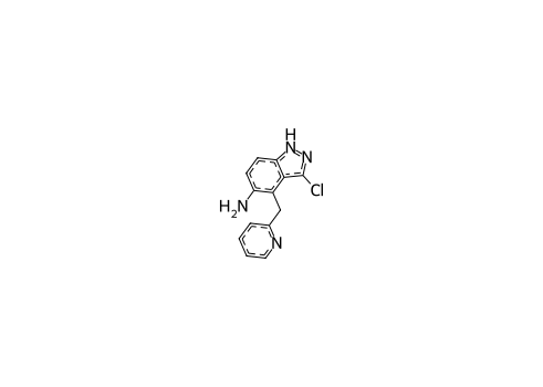 Nc1ccc2[nH]nc(Cl)c2c1Cc1ccccn1